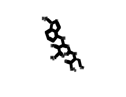 CC(C)C[C@@H](NC(=N)/N=C(/Nc1cccc2c1cnn2C)C(=N)C(N)=O)C(N)=O